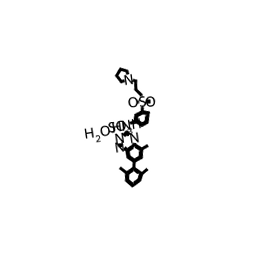 CS(=O)(=O)O.Cc1cccc(C)c1-c1cc(C)c2nc(Nc3cccc(S(=O)(=O)CCCN4CCCC4)c3)nnc2c1.O